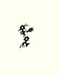 COC(=O)CC(c1cccc(OCc2noc(-c3cc(OC)ccc3F)c2OCC2CC(C)(C)C2)c1)C1CC1